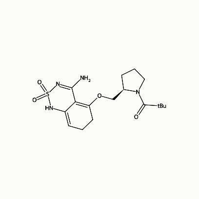 CC(C)(C)C(=O)N1CCC[C@@H]1COC1=C2C(=CCC1)NS(=O)(=O)N=C2N